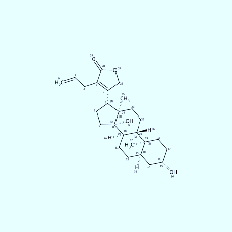 C=CCC1=C([C@H]2CC[C@]3(O)[C@@H]4CC[C@@H]5C[C@@H](O)CC[C@]5(C)[C@H]4CC[C@]23C)COC1=O